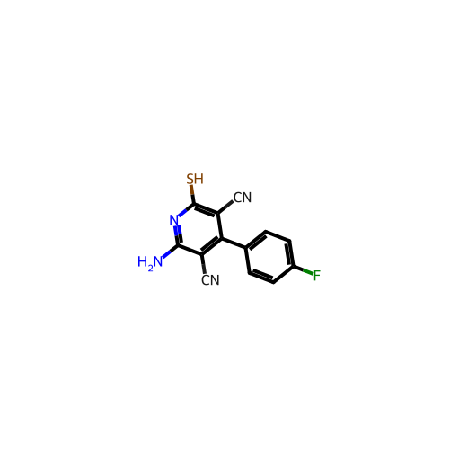 N#Cc1c(N)nc(S)c(C#N)c1-c1ccc(F)cc1